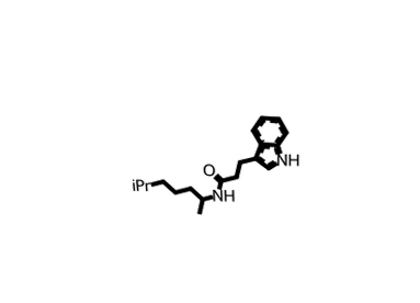 CC(C)CCCC(C)NC(=O)CCc1c[nH]c2ccccc12